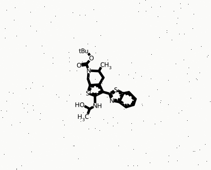 CC(O)Nc1sc2c(c1-c1nc3ccccc3s1)CC(C)N(C(=O)OC(C)(C)C)C2